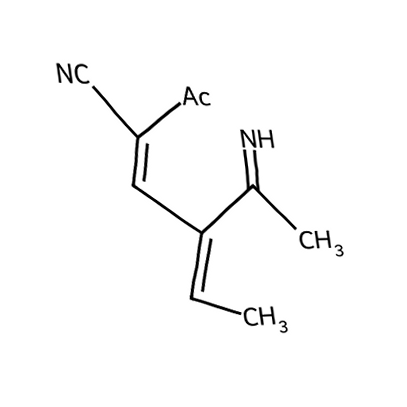 C/C=C(/C=C(/C#N)C(C)=O)C(C)=N